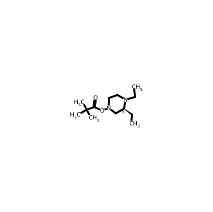 CC[C@H]1CN(OC(=O)C(C)(C)C)CCN1CC